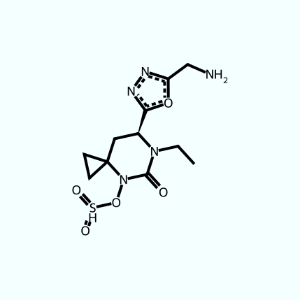 CCN1C(=O)N(O[SH](=O)=O)C2(CC2)C[C@H]1c1nnc(CN)o1